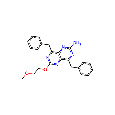 COCCOc1nc(Cc2ccccc2)c2nc(N)nc(Cc3ccccc3)c2n1